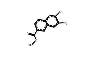 Cc1nc2ccc(C(=O)OC(C)(C)C)cc2cc1N